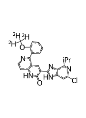 [2H]C([2H])([2H])Oc1ccccc1-c1nccc2[nH]c(=O)c(-c3nc4c(C(C)C)nc(Cl)cc4[nH]3)cc12